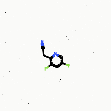 N#CCc1ncc(F)cc1F